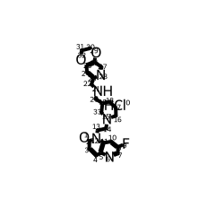 Cl.O=c1ccc2ncc(F)cc2n1CCN1CCCC(CNCc2cc3c(cn2)OCCO3)C1